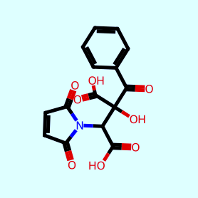 O=C(O)C(N1C(=O)C=CC1=O)C(O)(C(=O)O)C(=O)c1ccccc1